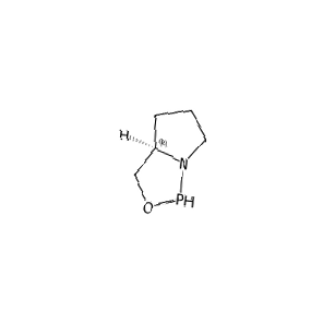 C1C[C@@H]2COPN2C1